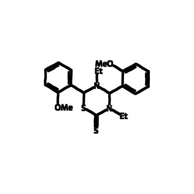 CCN1C(=S)SC(c2ccccc2OC)N(CC)C1c1ccccc1OC